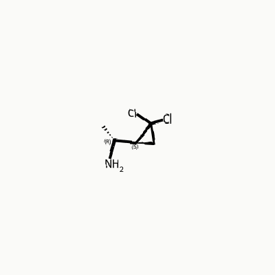 C[C@@H](N)[C@@H]1CC1(Cl)Cl